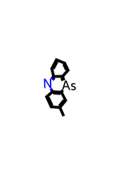 Cc1ccc2c(c1)[As]=c1ccccc1=N2